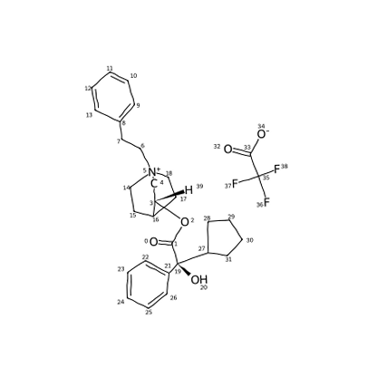 O=C(O[C@H]1C[N+]2(CCc3ccccc3)CCC1CC2)[C@@](O)(c1ccccc1)C1CCCC1.O=C([O-])C(F)(F)F